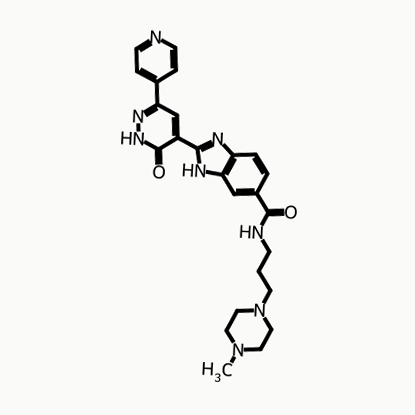 CN1CCN(CCCNC(=O)c2ccc3nc(-c4cc(-c5ccncc5)n[nH]c4=O)[nH]c3c2)CC1